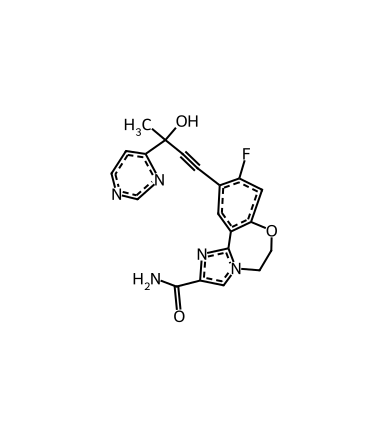 CC(O)(C#Cc1cc2c(cc1F)OCCn1cc(C(N)=O)nc1-2)c1ccncn1